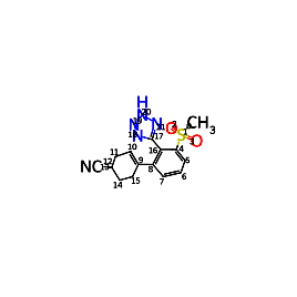 CS(=O)(=O)c1cccc(C2=CCC(C#N)CC2)c1-c1nn[nH]n1